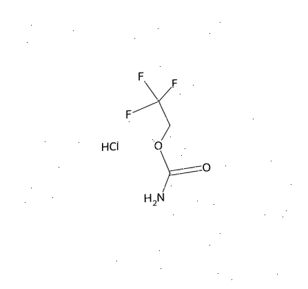 Cl.NC(=O)OCC(F)(F)F